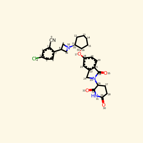 N#Cc1cc(Cl)ccc1C1CN([C@H]2CCCC[C@@H]2Oc2ccc3c(c2)CN(C2CCC(=O)NC2=O)C3=O)C1